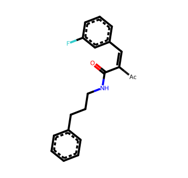 CC(=O)C(=Cc1cccc(F)c1)C(=O)NCCCc1ccccc1